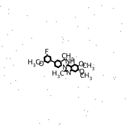 COc1cc(F)cc(-c2cccc([C@@H](C)Nc3nc(C)nc4cc(OC)c(OC)cc34)c2)c1